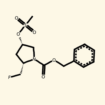 CS(=O)(=O)O[C@H]1C[C@@H](CF)N(C(=O)OCc2ccccc2)C1